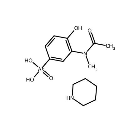 C1CCNCC1.CC(=O)N(C)c1cc([As](=O)(O)O)ccc1O